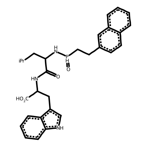 CC(C)CC(N[PH](=O)CCc1ccc2ccccc2c1)C(=O)NC(Cc1c[nH]c2ccccc12)C(=O)O